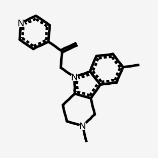 C=C(Cn1c2c(c3cc(C)ccc31)CN(C)CC2)c1ccncc1